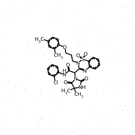 Cc1ccc(OCCCN2C(C(C(=O)Nc3ccccc3Cl)N3C(=O)NC(C)(C)C3=O)=Nc3ccccc3S2(=O)=O)c(C)c1